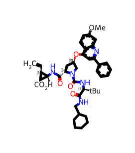 C=C[C@@H]1C[C@]1(NC(=O)[C@@H]1C[C@@H](Oc2cc(-c3ccccc3)nc3cc(OC)ccc23)CN1C(=O)N[C@H](C(=O)NCC1CCCCC1)C(C)(C)C)C(=O)O